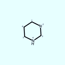 C1C[N]CNC1